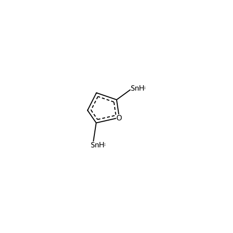 [SnH][c]1cc[c]([SnH])o1